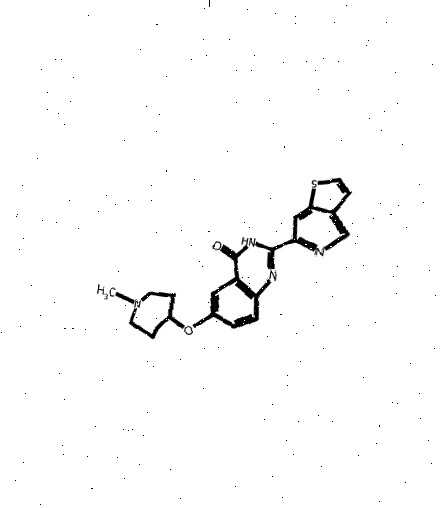 CN1CCC(Oc2ccc3nc(-c4cc5sccc5cn4)[nH]c(=O)c3c2)CC1